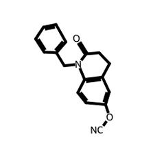 N#COc1ccc2c(c1)CCC(=O)N2Cc1ccccc1